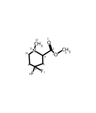 COC(=O)C1CC(F)(F)CCN1C